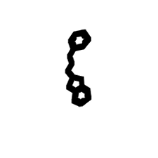 c1ccc(CCCC2Cc3ccccc3C2)cc1